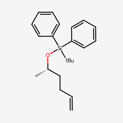 C=CCC[C@H](C)O[Si](c1ccccc1)(c1ccccc1)C(C)(C)C